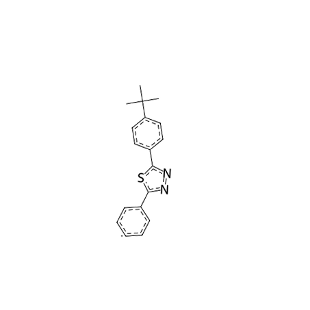 CC(C)(C)c1ccc(-c2nnc(-c3cc[c]cc3)s2)cc1